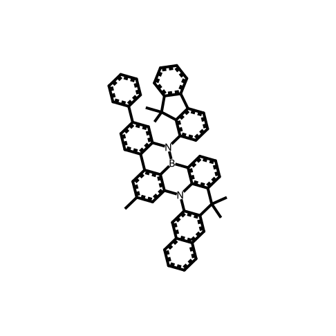 Cc1cc2c3c(c1)N1c4cc5ccccc5cc4C(C)(C)c4cccc(c41)B3N(c1cccc3c1C(C)(C)c1ccccc1-3)c1cc(-c3ccccc3)ccc1-2